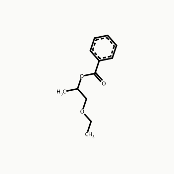 CCOCC(C)OC(=O)c1ccccc1